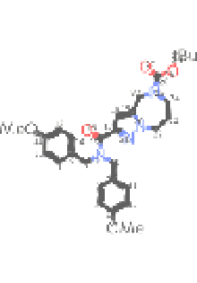 COc1ccc(CN(Cc2ccc(OC)cc2)C(=O)c2cc3n(n2)CCCN(C(=O)OC(C)(C)C)C3)cc1